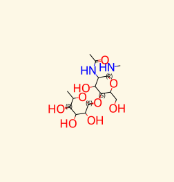 CN[C@@H]1OC(CO)[C@@H](O[C@@H]2OC(C)[C@H](O)C(O)C2O)C(O)C1NC(C)=O